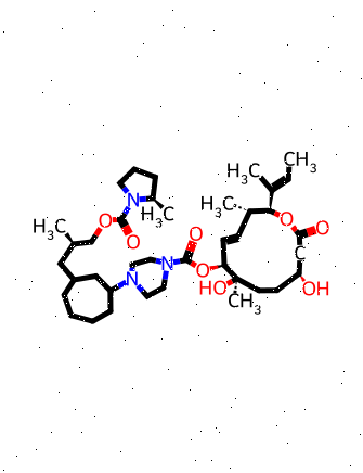 C/C=C(\C)[C@H]1OC(=O)C[C@H](O)CC[C@@](C)(O)[C@@H](OC(=O)N2CCN(C3CCCCC(C[C@@H](C)COC(=O)N4CCC[C@H]4C)C3)CC2)/C=C/[C@@H]1C